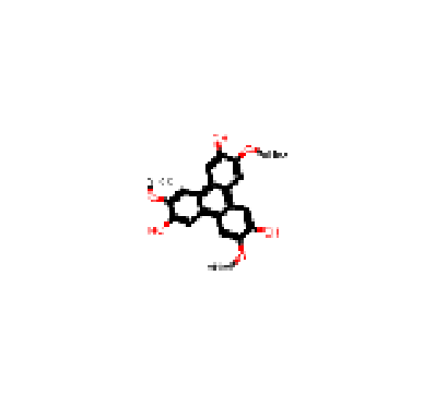 CCCCCCOc1cc2c(cc1O)c1cc(OCCCCCC)c(O)cc1c1cc(OCCCCCC)c(O)cc21